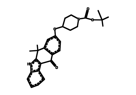 CC(C)(C)OC(=O)N1CCC(Oc2ccc3c(c2)C(C)(C)c2[nH]c4ccccc4c2C3=O)CC1